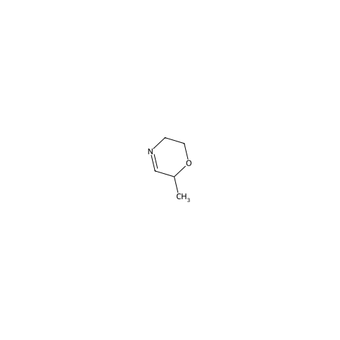 CC1C=NCCO1